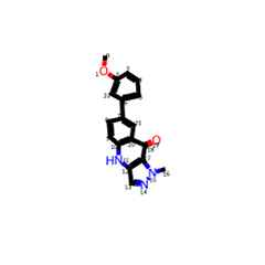 COc1cccc(-c2ccc3[nH]c4cnn(C)c4c(=O)c3c2)c1